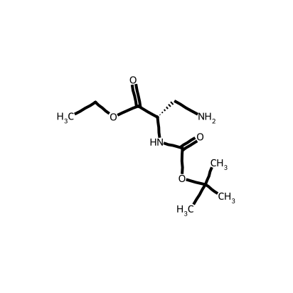 CCOC(=O)[C@H](CN)NC(=O)OC(C)(C)C